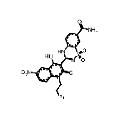 CC(C)CCn1c(=O)c(C2=NS(=O)(=O)c3cc(C(N)=O)ccc3N2)c(O)c2cc([N+](=O)[O-])ccc21